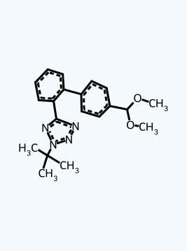 COC(OC)c1ccc(-c2ccccc2-c2nnn(C(C)(C)C)n2)cc1